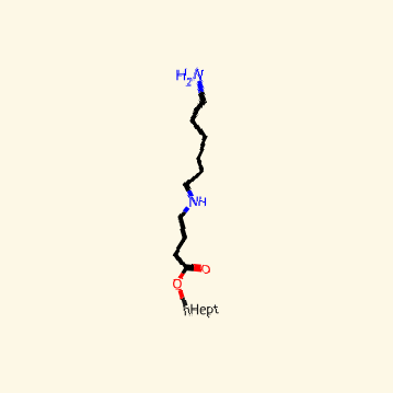 CCCCCCCOC(=O)CCCNCCCCCCN